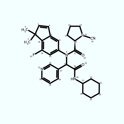 CC1(C)C=Cc2cc(N(C(=O)[C@H]3CCCN3C#N)C(C(=O)NC3CCCCC3)c3cccnc3)cc(F)c21